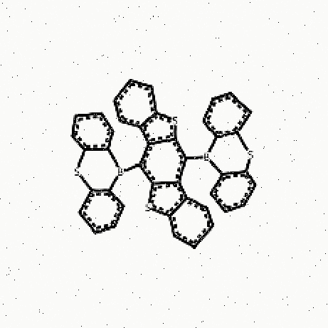 c1ccc2c(c1)Sc1ccccc1B2c1c2sc3ccccc3c2c(B2c3ccccc3Sc3ccccc32)c2sc3ccccc3c12